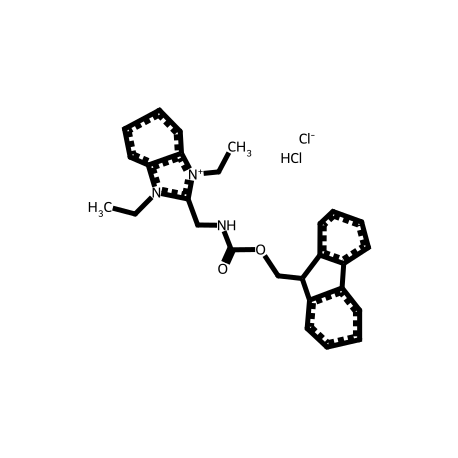 CCn1c(CNC(=O)OCC2c3ccccc3-c3ccccc32)[n+](CC)c2ccccc21.Cl.[Cl-]